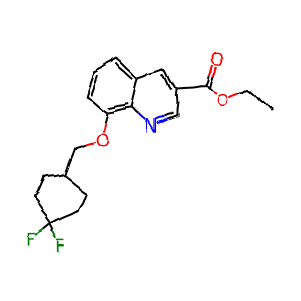 CCOC(=O)c1cnc2c(OCC3CCC(F)(F)CC3)cccc2c1